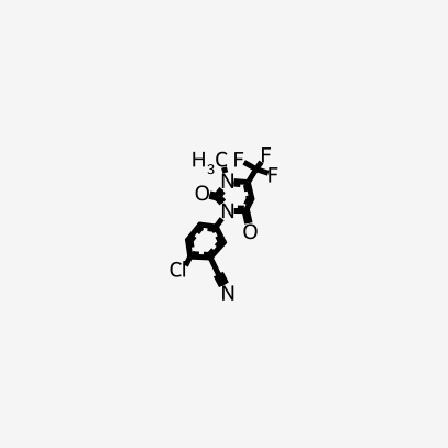 Cn1c(C(F)(F)F)cc(=O)n(-c2ccc(Cl)c(C#N)c2)c1=O